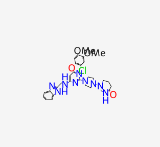 COc1cc(Cl)c(Oc2cc(NCc3nc4ccccc4[nH]3)nc(N3CCN(N4CCCC(=O)NC4)CC3)n2)cc1OC